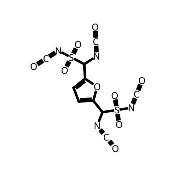 O=C=NC(c1ccc(C(N=C=O)S(=O)(=O)N=C=O)o1)S(=O)(=O)N=C=O